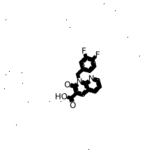 O=C(O)c1cc2cccnc2n(Cc2ccc(F)c(F)c2)c1=O